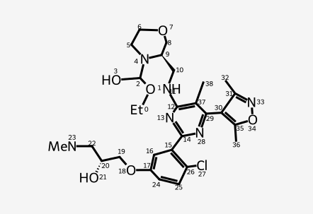 CCOC(O)N1CCOC[C@H]1CNc1nc(-c2cc(OC[C@H](O)CNC)ccc2Cl)nc(-c2c(C)noc2C)c1C